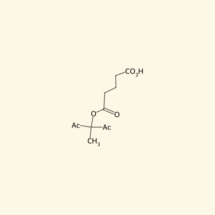 CC(=O)C(C)(OC(=O)CCCC(=O)O)C(C)=O